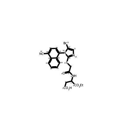 CCOC(=O)C(CC(=O)O)NC(=O)CSc1ncc(Br)n1-c1ccc(C#N)c2ccccc12